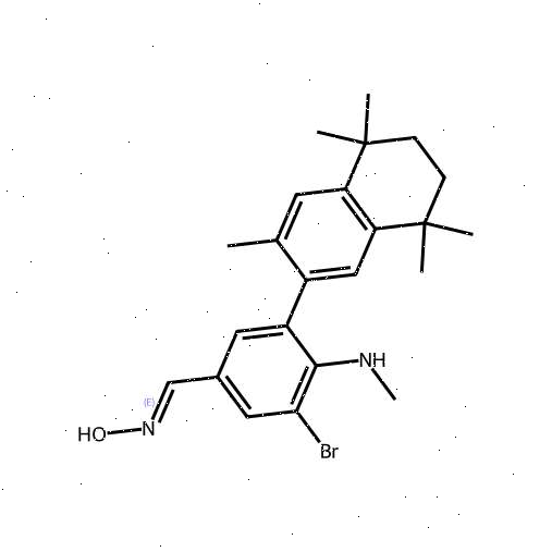 CNc1c(Br)cc(/C=N/O)cc1-c1cc2c(cc1C)C(C)(C)CCC2(C)C